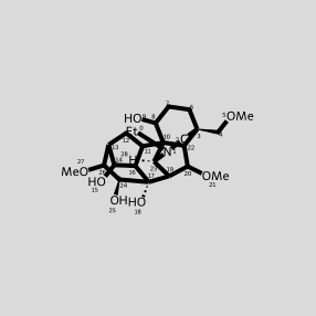 CCN1C[C@]2(COC)CCC(O)C34C5CC6C(O)C5[C@@](O)(C(C(OC)C32)[C@H]14)[C@@H](O)C6OC